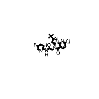 CC(C)(C)c1cc2n(CC(O)Nc3ccc(F)cn3)c(=O)c3ccc(Cl)nc3n2n1